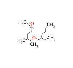 CCCCC(CC)COC(C)C(C)CC[C@H]1OC1C